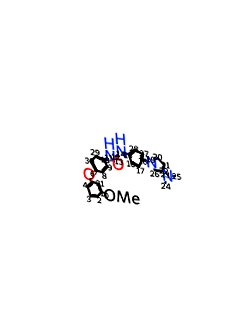 COc1cccc(Oc2ccc(NC(=O)Nc3ccc(N4CCC(N(C)C)C4)cc3)cc2)c1